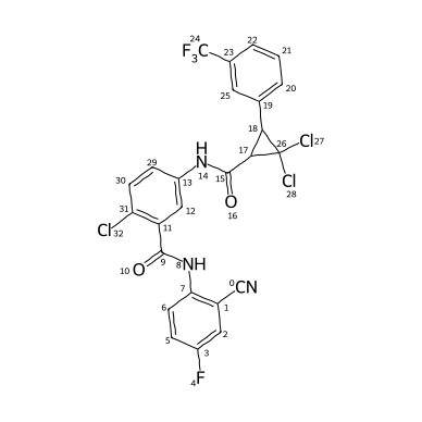 N#Cc1cc(F)ccc1NC(=O)c1cc(NC(=O)C2C(c3cccc(C(F)(F)F)c3)C2(Cl)Cl)ccc1Cl